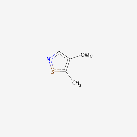 COc1cnsc1C